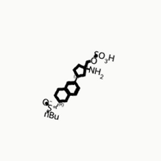 CCCC[S+]([O-])C[C@@H]1CCc2cc([C@H]3CC[C@](N)(COS(=O)(=O)O)C3)ccc2C1